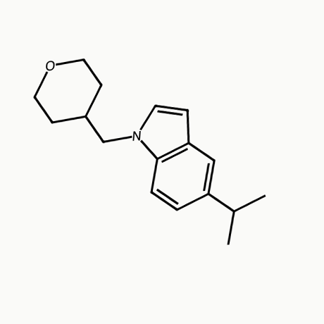 CC(C)c1ccc2c(ccn2CC2CCOCC2)c1